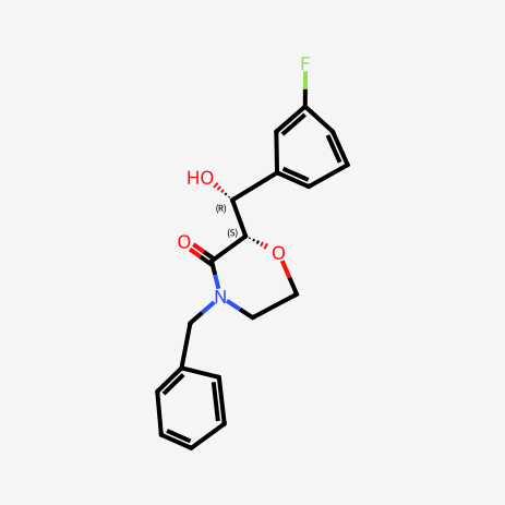 O=C1[C@H]([C@H](O)c2cccc(F)c2)OCCN1Cc1ccccc1